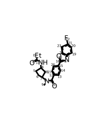 CCC(=O)NC1CCC(N(C)C(=O)c2ccc(-c3nc4ccc(F)cc4o3)cc2)C1